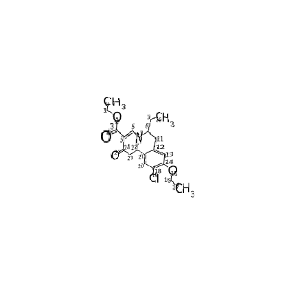 CCOC(=O)C1=CN2C(CC)Cc3cc(OCC)c(Cl)cc3C2CC1=O